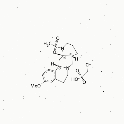 CCS(=O)(=O)O.COc1ccc2c(c1)CCN1C[C@H]3CCCN(S(C)(=O)=O)[C@H]3C[C@@H]21